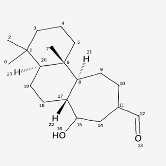 CC1(C)CCC[C@]2(C)[C@H]3CCC(C=O)CC(O)[C@@H]3CC[C@@H]12